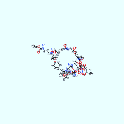 CC[C@H](C)[C@H]1NC(=O)[C@@H](NC(=O)[C@H](C)[C@H](O)C(C)C)[C@@H](C)OC(=O)[C@@H]2COC(=O)CNC(=O)CCC(C)[C@](O)(CNCCCNC(=O)OC(C)(C)C)[C@@H](C)OC3=CC=C(CC3)[C@H](NC1=O)C(=O)N(C)[C@@H](Cc1ccccc1)C(=O)N[C@H]([C@@H](C)O)C(=O)N2